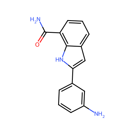 NC(=O)c1cccc2cc(-c3cccc(N)c3)[nH]c12